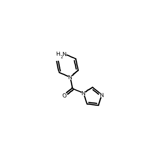 C=CN(/C=C\N)C(=O)n1ccnc1